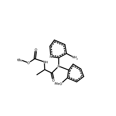 COc1ccccc1N(C(=O)C(C)NC(=O)OC(C)(C)C)c1ncccc1N